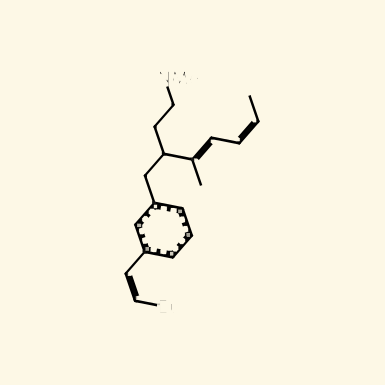 C/C=C\C=C(/C)C(CCNC)Cc1cccc(/C=C\CC)c1